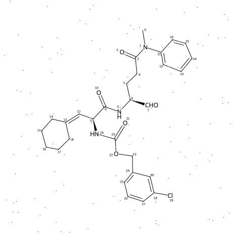 CN(C(=O)CC[C@@H](C=O)NC(=O)[C@H](C=C1CCCCC1)NC(=O)OCc1cccc(Cl)c1)c1ccccc1